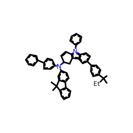 CCC(C)(C)c1ccc(-c2ccc3c(c2)c2c(n3-c3ccccc3)C=CC(N(c3ccc(-c4ccccc4)cc3)c3ccc4c(c3)C(C)(C)c3ccccc3-4)C2)cc1